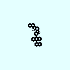 c1ccc2c(-c3c4ccccc4c(-c4ccc5c(c4)sc4ccc6c7ccc8ccccc8c7sc6c45)c4ccccc34)cccc2c1